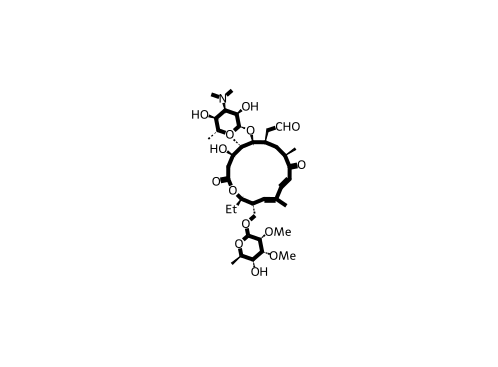 CC[C@H]1OC(=O)C[C@@H](O)[C@H](C)[C@@H](O[C@@H]2O[C@H](C)[C@@H](O)[C@@H](N(C)C)[C@H]2O)[C@@H](CC=O)C[C@@H](C)C(=O)/C=C/C(C)=C/[C@@H]1COC1O[C@H](C)[C@@H](O)[C@@H](OC)[C@H]1OC